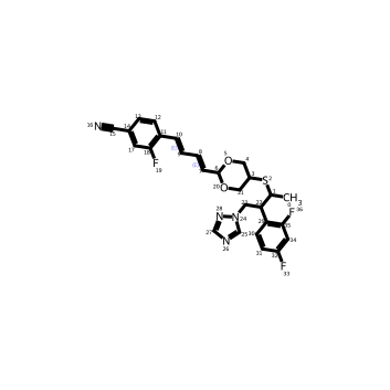 CC(SC1COC(/C=C/C=C/c2ccc(C#N)cc2F)OC1)C(Cn1cncn1)c1ccc(F)cc1F